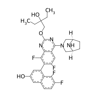 CCC(O)(CC)COc1nc(N2C[C@H]3CC[C@@H](C2)N3)c2cc(F)c(-c3cc(O)cc4ccc(F)c(F)c34)c(F)c2n1